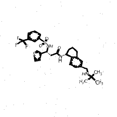 CC(C)(C)NCc1ccc2c(c1)CCC[C@H]2NC(=O)C[C@@H](NS(=O)(=O)c1cccc(C(F)(F)F)c1)c1ccsc1